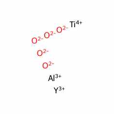 [Al+3].[O-2].[O-2].[O-2].[O-2].[O-2].[Ti+4].[Y+3]